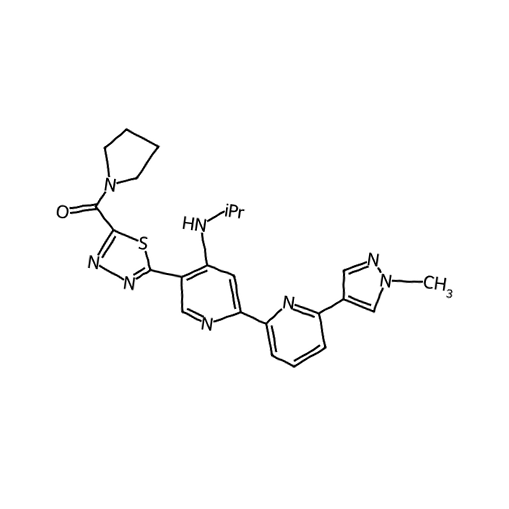 CC(C)Nc1cc(-c2cccc(-c3cnn(C)c3)n2)ncc1-c1nnc(C(=O)N2CCCC2)s1